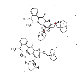 CCC(C)c1ccccc1-c1ncc2c(N3C[C@H]4CC[C@@H](C3)N4)nc(OCC34CCCN3CCC4)nc2c1F.CCCCOC(=O)N1C2CCC1CN(c1nc(OCC34CCCN3CCC4)nc3c(F)c(-c4ccccc4C(C)CC)ncc13)C2